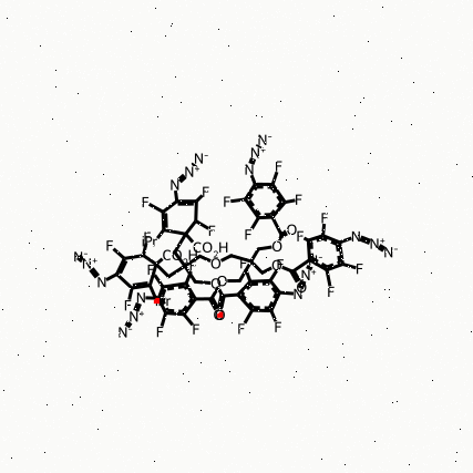 CC(C)C1=C(F)C(N=[N+]=[N-])=C(F)C(F)C1(CC(COCC(COC(=O)c1c(F)c(F)c(N=[N+]=[N-])c(F)c1F)(COC(=O)c1c(F)c(F)c(N=[N+]=[N-])c(F)c1F)COC(=O)c1c(F)c(F)c(N=[N+]=[N-])c(F)c1F)(COC(=O)c1c(F)c(F)c(N=[N+]=[N-])c(F)c1F)CC1(C(=O)O)C(C(C)C)=C(F)C(N=[N+]=[N-])=C(F)C1F)C(=O)O